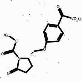 CCOC(=O)C(=O)c1ccc(OC[C@@H]2CCC(=O)N2C(=O)OC(C)(C)C)cc1